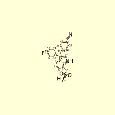 CS(=O)(=O)Cc1cccc2c(C(c3ccc(F)cc3)c3ccc(C#N)cc3)c[nH]c12